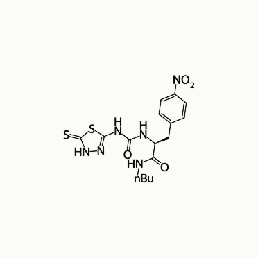 CCCCNC(=O)[C@H](Cc1ccc([N+](=O)[O-])cc1)NC(=O)Nc1n[nH]c(=S)s1